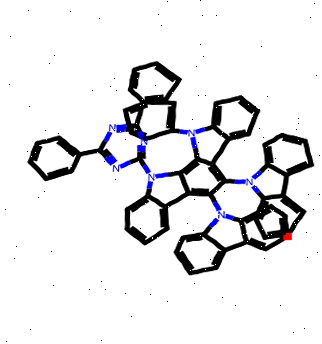 c1ccc(-c2nc(-c3ccccc3)nc(-n3c4ccccc4c4c(-n5c6ccccc6c6ccccc65)c(-n5c6ccccc6c6ccccc65)c5c6ccccc6n(-c6ccccc6)c5c43)n2)cc1